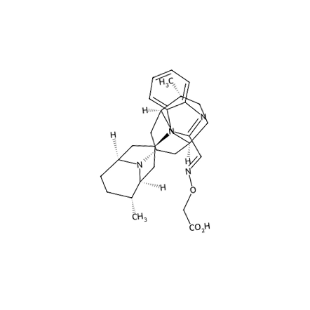 C[C@@H]1CC[C@@H]2C[C@H]1C[C@@H](N1[C@H]3CC[C@@H](C)[C@@H]1C[C@H](n1c(/C=N/OCC(=O)O)nc4ccccc41)C3)C2